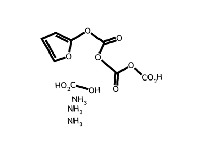 N.N.N.O=C(O)O.O=C(O)OC(=O)OC(=O)Oc1ccco1